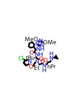 CCC[C@H](NC(=O)CN(C[C@@H](CC)Oc1ccc(Cl)cn1)C(=O)[C@@H](NC(=O)[C@@H](Nc1nc(OC)nc(OC)n1)C1CCCCC1)C(C)(C)C)C(=O)CNC1CC1